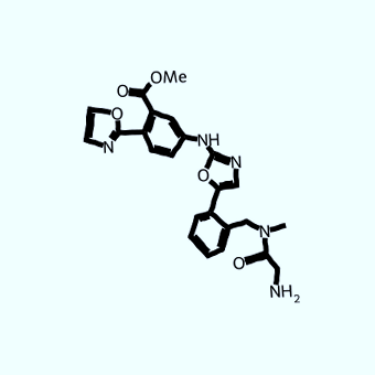 COC(=O)c1cc(Nc2ncc(-c3ccccc3CN(C)C(=O)CN)o2)ccc1-c1ncco1